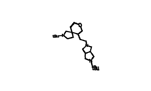 CC(C)(C)N1CC2CN(CCC3COCCC34CCN(C(C)(C)C)C4)CC2C1